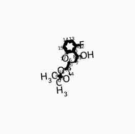 CC1(C)OC[C@@H]([C@@H]2C[C@H](O)c3c(F)cccc3O2)O1